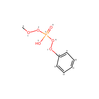 COOP(=O)(O)OOc1ccccc1